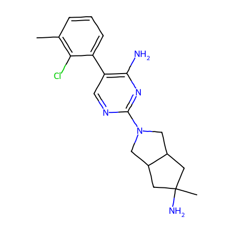 Cc1cccc(-c2cnc(N3CC4CC(C)(N)CC4C3)nc2N)c1Cl